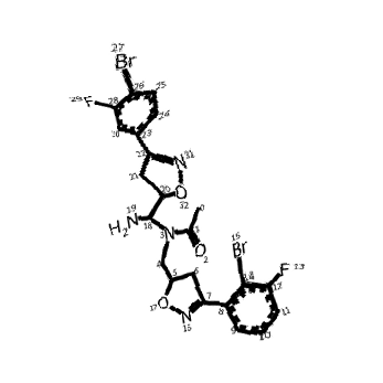 CC(=O)N(CC1CC(c2cccc(F)c2Br)=NO1)C(N)C1CC(c2ccc(Br)c(F)c2)=NO1